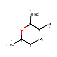 CCCCCCC(CC(C)C)OC(CCCCCC)CC(C)C